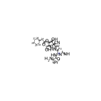 CC(C)[C@H](N)C(=O)N/C(=N/C=N)c1ccc([C@]2(C#N)O[C@H](CO)[C@@H](OC(=O)CC3CCCCC3)[C@H]2O)[nH]1